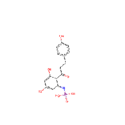 O=C(CCc1ccc(O)cc1)C1C(O)=CC(O)=CC1=NP(=O)(O)O